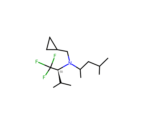 CC(C)CC(C)N(CC1CC1)[C@@H](C(C)C)C(F)(F)F